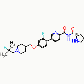 CC(C)(F)CN1CCC(COc2ccc(-c3ccc(C(=O)NC(=O)[C@@H]4CCCN4)nc3)c(F)c2)CC1